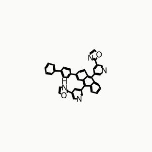 C1=COC(c2cncc(-c3c4ccccc4c(-c4cncc(-c5ncco5)c4)c4ccc(-c5ccc(-c6ccccc6)cc5)cc34)c2)N1